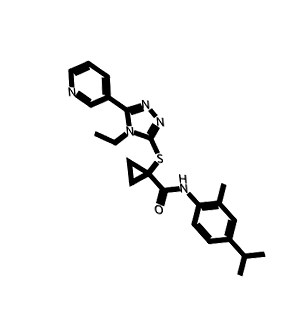 CCn1c(SC2(C(=O)Nc3ccc(C(C)C)cc3C)CC2)nnc1-c1cccnc1